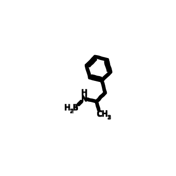 BNC(C)Cc1ccccc1